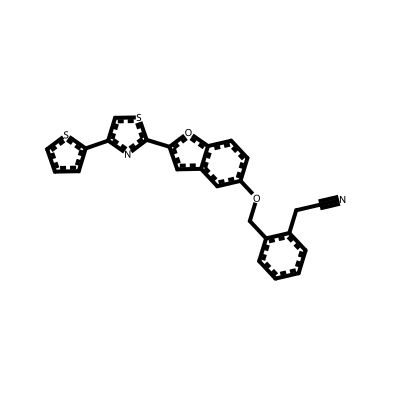 N#CCc1ccccc1COc1ccc2oc(-c3nc(-c4cccs4)cs3)cc2c1